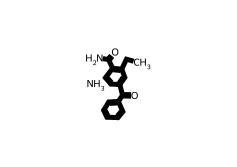 CCc1cc(C(=O)c2ccccc2)ccc1C(N)=O.N